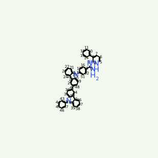 NC(/N=c1\[nH]cccc1-c1ccccc1)c1ccc(-n2c3ccccc3c3cc(-c4ccc5c(c4)c4ccccc4n5-c4ccccc4)ccc32)cc1